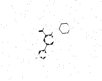 Cn1cnc(-c2cnc(O[C@H]3CCNC[C@@H]3F)c(C(N)=O)c2)c1